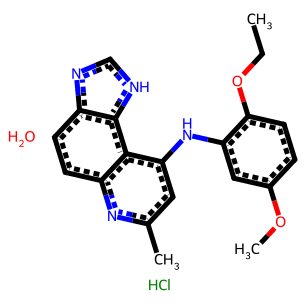 CCOc1ccc(OC)cc1Nc1cc(C)nc2ccc3nc[nH]c3c12.Cl.O